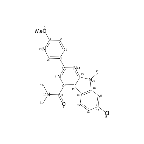 COc1ccc(-c2nc(C(=O)N(C)C)c3c4ccc(Cl)cc4n(C)c3n2)cn1